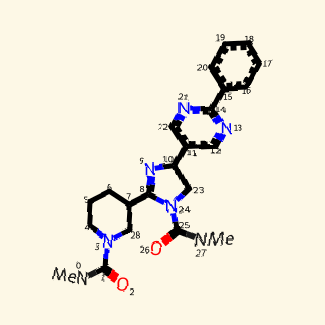 CNC(=O)N1CCCC(C2=NC(c3cnc(-c4ccccc4)nc3)CN2C(=O)NC)C1